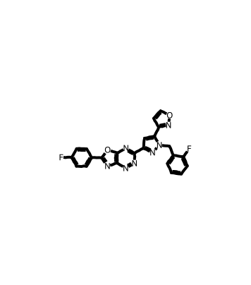 Fc1ccc(-c2nc3nnc(-c4cc(-c5ccon5)n(Cc5ccccc5F)n4)nc3o2)cc1